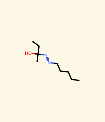 CCCCC/N=N/C(C)(O)CC